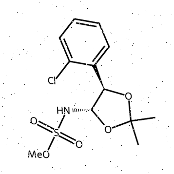 COS(=O)(=O)N[C@H]1OC(C)(C)O[C@@H]1c1ccccc1Cl